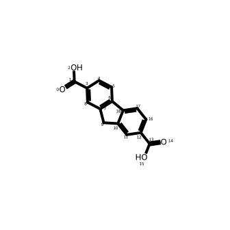 O=C(O)c1ccc2c(c1)Cc1cc(C(=O)O)ccc1-2